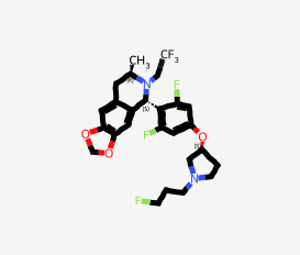 C[C@@H]1Cc2cc3c(cc2[C@@H](c2c(F)cc(O[C@H]4CCN(CCCF)C4)cc2F)N1CC(F)(F)F)OCO3